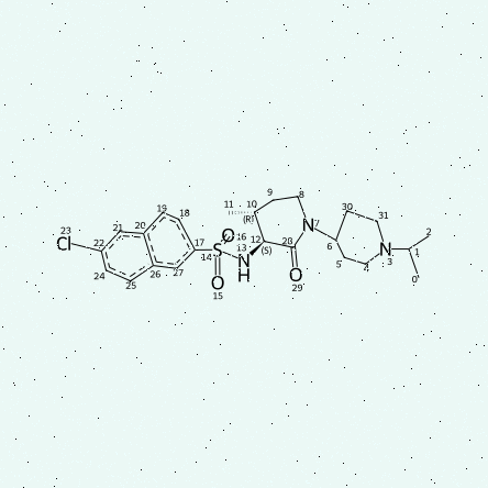 CC(C)N1CCC(N2CC[C@@H](C)[C@H](NS(=O)(=O)c3ccc4cc(Cl)ccc4c3)C2=O)CC1